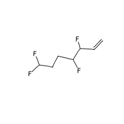 C=CC(F)C(F)CCC(F)F